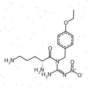 CCOc1ccc(CN(C(=O)[C@H](N)CCCN)/C(N)=N\[N+](=O)[O-])cc1